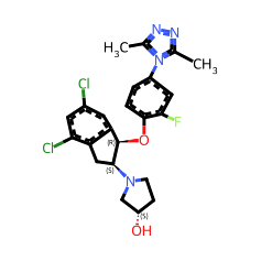 Cc1nnc(C)n1-c1ccc(O[C@@H]2c3cc(Cl)cc(Cl)c3C[C@@H]2N2CC[C@H](O)C2)c(F)c1